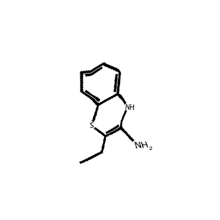 CCC1=C(N)Nc2ccccc2S1